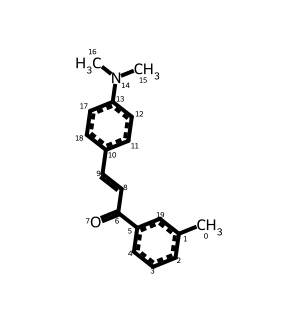 Cc1cccc(C(=O)C=Cc2ccc(N(C)C)cc2)c1